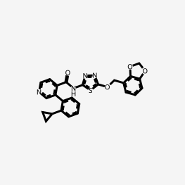 O=C(Nc1nnc(OCc2cccc3c2OCO3)s1)c1ccncc1-c1ccccc1C1CC1